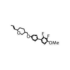 C/C=C/C1CCC(COc2ccc(-c3ccc(OC)c(F)c3F)cc2)CO1